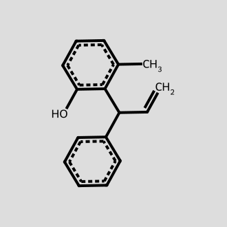 C=CC(c1ccccc1)c1c(C)cccc1O